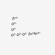 [O-2].[O-2].[O-2].[O-2].[O-2].[Sn+4].[Zn+2].[Zr+4]